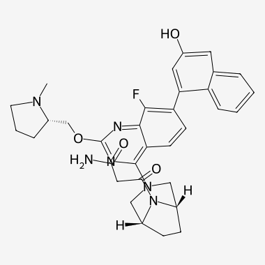 CN1CCC[C@H]1COc1nc(N2C[C@H]3CC[C@@H](C2)N3C(=O)CC(N)=O)c2ccc(-c3cc(O)cc4ccccc34)c(F)c2n1